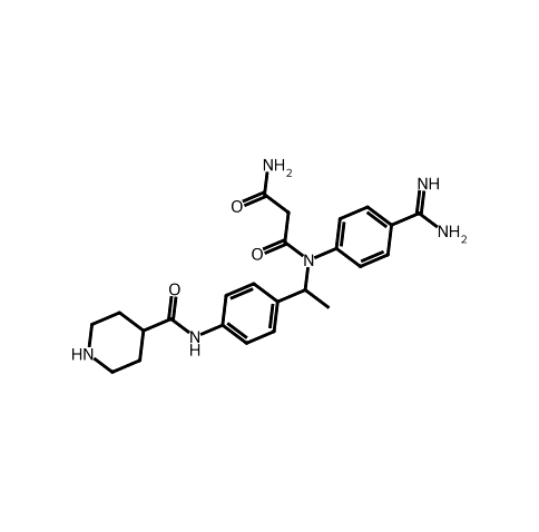 CC(c1ccc(NC(=O)C2CCNCC2)cc1)N(C(=O)CC(N)=O)c1ccc(C(=N)N)cc1